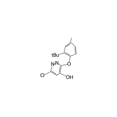 Cc1ccc(Oc2nnc(Cl)cc2O)c(C(C)(C)C)c1